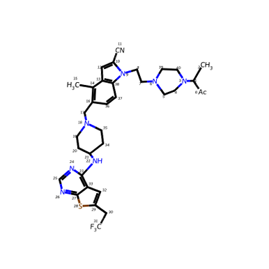 CC(=O)C(C)N1CCN(CCn2c(C#N)cc3c(C)c(CN4CCC(Nc5ncnc6sc(CC(F)(F)F)cc56)CC4)ccc32)CC1